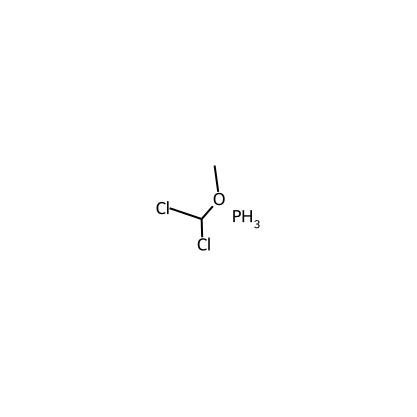 COC(Cl)Cl.P